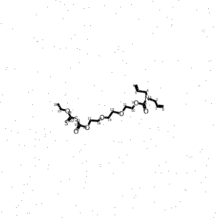 C=CCN(CC=C)C(=O)OCCOCCOCCOC(=O)SC(=S)OCC